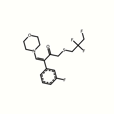 O=C(CSCC(F)(F)CF)/C(=C\N1CCOCC1)c1cccc(F)c1